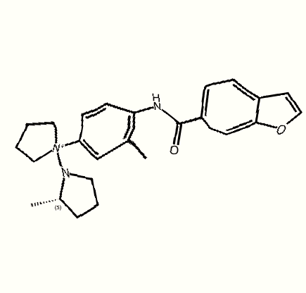 Cc1cc([N+]2(N3CCC[C@@H]3C)CCCC2)ccc1NC(=O)c1ccc2ccoc2c1